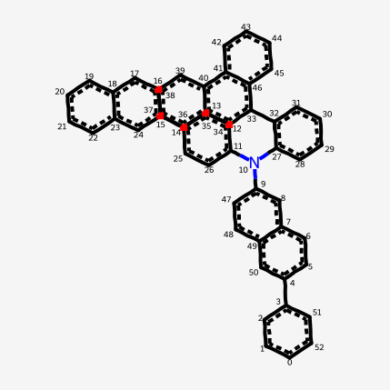 c1ccc(-c2ccc3cc(N(c4ccc(-c5ccc6ccccc6c5)cc4)c4ccccc4-c4cc5ccccc5c5ccccc45)ccc3c2)cc1